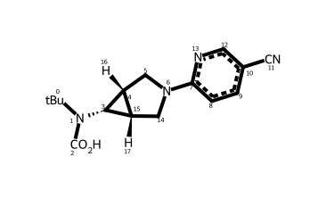 CC(C)(C)N(C(=O)O)[C@@H]1[C@@H]2CN(c3ccc(C#N)cn3)C[C@@H]21